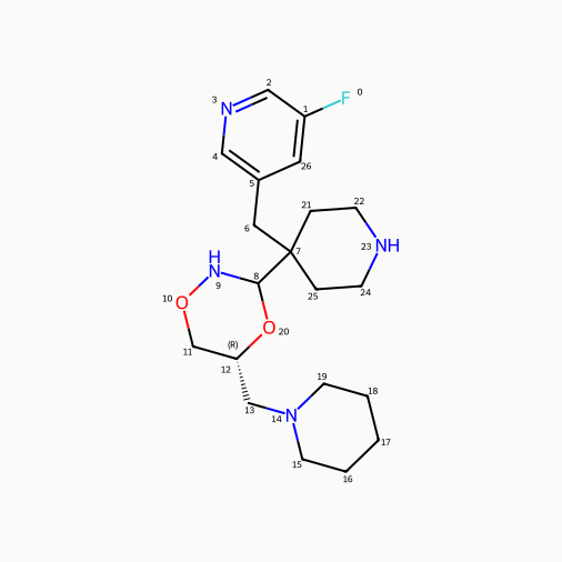 Fc1cncc(CC2(C3NOC[C@@H](CN4CCCCC4)O3)CCNCC2)c1